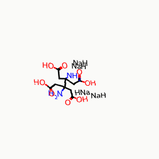 NC(CC(=O)O)(CC(=O)O)C(N)(CC(=O)O)CC(=O)O.[NaH].[NaH].[NaH].[NaH]